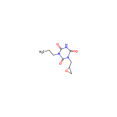 CCCn1c(=O)[nH]c(=O)n(CC2CO2)c1=O